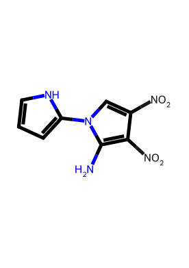 Nc1c([N+](=O)[O-])c([N+](=O)[O-])cn1-c1ccc[nH]1